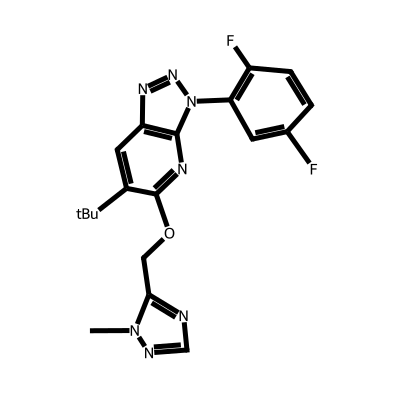 Cn1ncnc1COc1nc2c(cc1C(C)(C)C)nnn2-c1cc(F)ccc1F